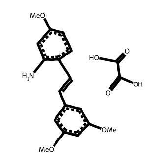 COc1cc(C=Cc2ccc(OC)cc2N)cc(OC)c1.O=C(O)C(=O)O